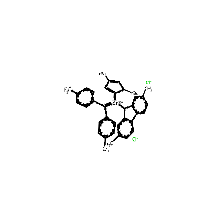 CCCCC1C=C(C(C)(C)C)C=[C]1[Zr+2](=[C](c1ccc(C(F)(F)F)cc1)c1ccc(C(F)(F)F)cc1)[CH]1c2cc(C)ccc2-c2ccc(C)cc21.[Cl-].[Cl-]